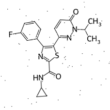 CC(C)n1nc(-c2sc(C(=O)NC3CC3)nc2-c2cccc(F)c2)ccc1=O